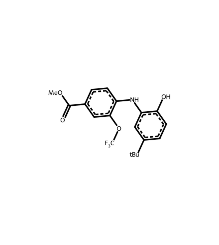 COC(=O)c1ccc(Nc2cc(C(C)(C)C)ccc2O)c(OC(F)(F)F)c1